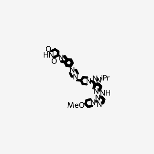 COC1CCN(c2nccc(Nc3cc4c(cn3)c(N3CCC(CN5CCN(c6ccc7cn(C8CCC(=O)NC8=O)cc7c6)CC5)CC3)nn4C(C)C)n2)CC1